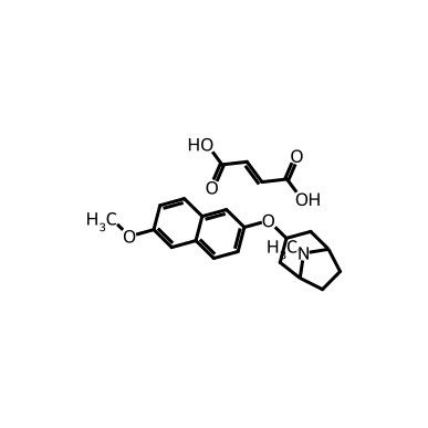 COc1ccc2cc(OC3CC4CCC(C3)N4C)ccc2c1.O=C(O)/C=C/C(=O)O